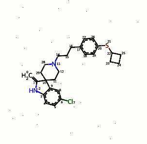 C=C1Nc2ccc(Cl)cc2C12CCN(CCCc1ccc(SC3CCC3)cc1)CC2